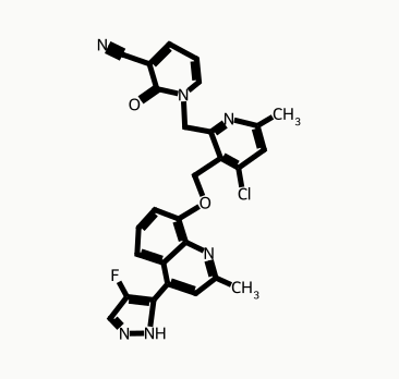 Cc1cc(Cl)c(COc2cccc3c(-c4[nH]ncc4F)cc(C)nc23)c(Cn2cccc(C#N)c2=O)n1